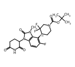 Cn1c(=O)n(C2CCC(=O)NC2=O)c2ccc(F)c([C@@H]3CCN(C(=O)OC(C)(C)C)CC3(F)F)c21